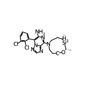 C[C@@H]1OCCCN(c2nc(N)c(-c3cccc(Cl)c3Cl)n3ncnc23)CC[C@H](C)[SiH2]1